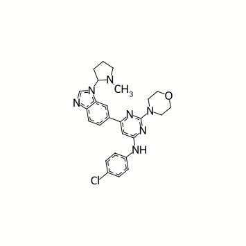 CN1CCCC1n1cnc2ccc(-c3cc(Nc4ccc(Cl)cc4)nc(N4CCOCC4)n3)cc21